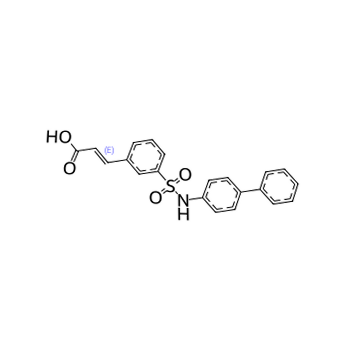 O=C(O)/C=C/c1cccc(S(=O)(=O)Nc2ccc(-c3ccccc3)cc2)c1